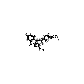 Cc1ccc(C2=CC(c3ccc([N+](=O)[O-])o3)=NC3C(C#N)CNN23)c(C)c1